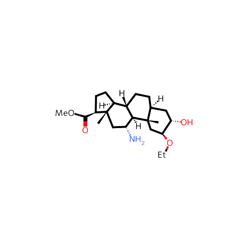 CCO[C@H]1C[C@@]2(C)[C@@H](CC[C@@H]3[C@@H]2[C@H](N)C[C@]2(C)[C@@H](C(=O)OC)CC[C@@H]32)C[C@@H]1O